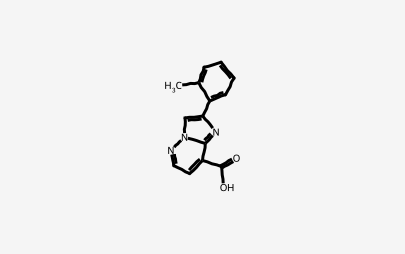 Cc1ccccc1-c1cn2nccc(C(=O)O)c2n1